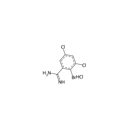 Cl.N=C(N)c1cc(Cl)cc(Cl)c1Br